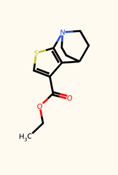 CCOC(=O)c1csc2c1C1CCN2CC1